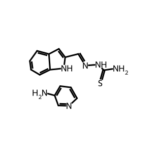 NC(=S)NN=Cc1cc2ccccc2[nH]1.Nc1cccnc1